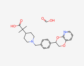 CC(C)(C(=O)O)C1CCN(Cc2ccc(C3COc4cccnc4O3)cc2)CC1.O=CO